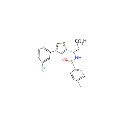 Cc1ccc([S@@+]([O-])NC(CC(=O)O)c2cc(-c3cccc(Cl)c3)cs2)cc1